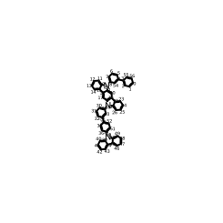 c1ccc(-c2cccc(-n3c4ccccc4c4cc5c(cc43)c3ccccc3n5-c3cccc(-c4ccc(-n5c6ccccc6c6ccccc65)cc4)c3)c2)cc1